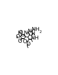 CCOC(=O)C1=C(C)Nc2nc(N)nc(N)c2C1c1cc(OC)c(OC)c(OC)c1